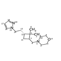 CC1(C)C(CN2CCOCC2)C[C@@H]1CCn1cccn1